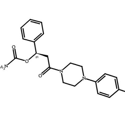 CCOc1ccc(N2CCN(C(=O)C[C@@H](OC(N)=O)c3ccccc3)CC2)cc1